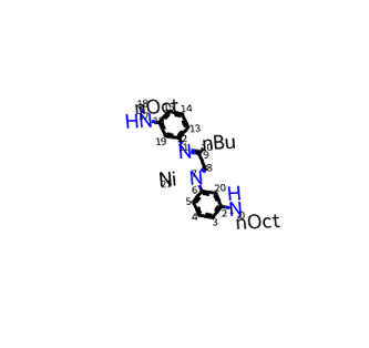 CCCCCCCCNc1cccc(N=CC(CCCC)=Nc2cccc(NCCCCCCCC)c2)c1.[Ni]